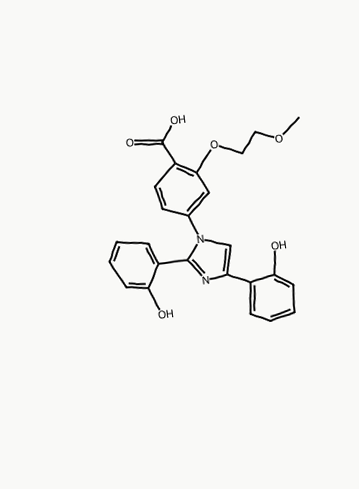 COCCOc1cc(-n2cc(-c3ccccc3O)nc2-c2ccccc2O)ccc1C(=O)O